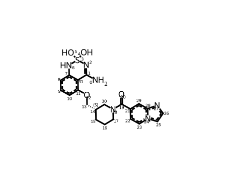 NC1=NS(O)(O)Nc2cccc(OC[C@H]3CCCN(C(=O)c4ccn5ccnc5c4)C3)c21